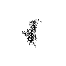 Cc1ccc(OCC2CC2)c(-c2ncnc3c(C(=O)NC4CC(NC(=O)[C@H](C)O)CC4F)c(C)[nH]c23)c1